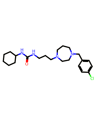 O=C(NCCCN1CCCN(Cc2ccc(Cl)cc2)CC1)NC1CCCCC1